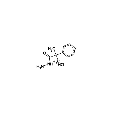 CC(C)(C(=O)NN)c1ccncc1.Cl